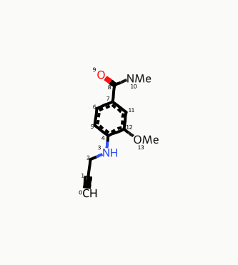 C#CCNc1ccc(C(=O)NC)cc1OC